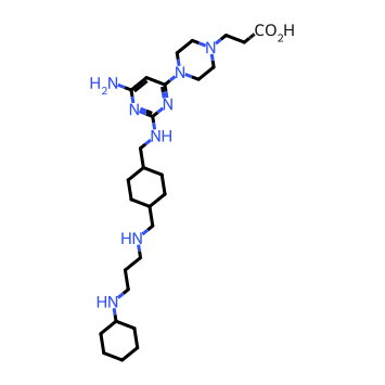 Nc1cc(N2CCN(CCC(=O)O)CC2)nc(NCC2CCC(CNCCCNC3CCCCC3)CC2)n1